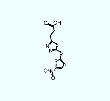 O=C(O)CCc1nnc(Sc2ncc([N+](=O)[O-])s2)s1